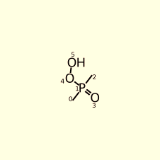 CP(C)(=O)OO